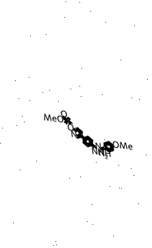 COC(=O)C(C)(C)COc1ccc(-c2ccc(/C(N)=N/C(=N)c3ccc(OC)cc3)cc2)cn1